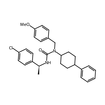 COc1ccc(CN(C(=O)N[C@@H](C)c2ccc(Cl)cc2)C2CCC(c3ccccc3)CC2)cc1